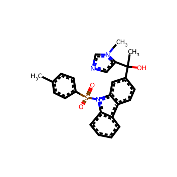 Cc1ccc(S(=O)(=O)n2c3ccccc3c3ccc(C(C)(O)c4cncn4C)cc32)cc1